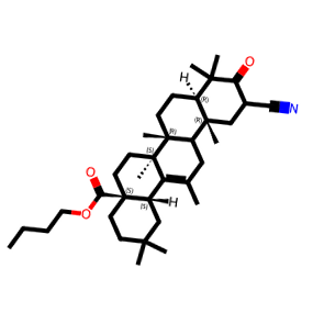 CCCCOC(=O)[C@]12CCC(C)(C)C[C@H]1C1=C(C)CC3[C@@]4(C)CC(C#N)C(=O)C(C)(C)[C@@H]4CC[C@@]3(C)[C@]1(C)CC2